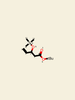 C=CC(CC(=O)OC(C)(C)C)O[Si](C)(C)C